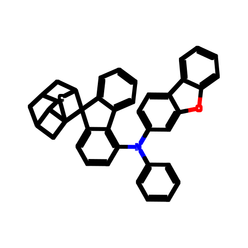 c1ccc(N(c2ccc3c(c2)oc2ccccc23)c2cccc3c2-c2ccccc2C32C3CC4CC5CC2(C4)C5C3)cc1